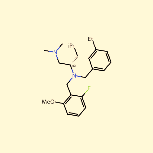 CCc1cccc(CN(Cc2c(F)cccc2OC)[C@@H](CC(C)C)CN(C)C)c1